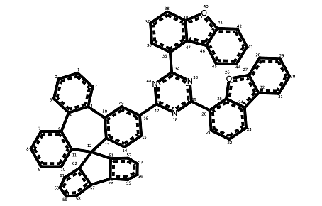 c1ccc2c(c1)-c1ccccc1C1(c3ccc(-c4nc(-c5cccc6c5oc5ccccc56)nc(-c5cccc6oc7ccccc7c56)n4)cc3-2)c2ccccc2-c2ccccc21